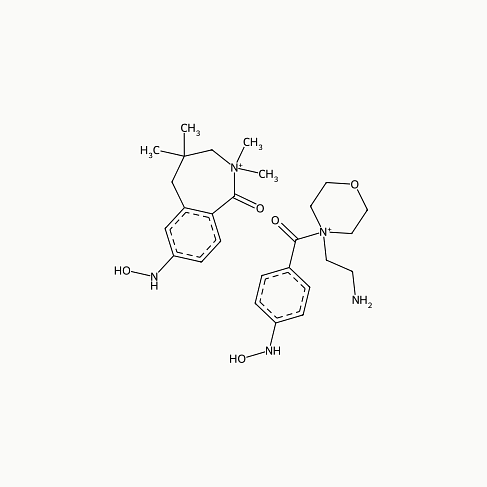 CC1(C)Cc2cc(NO)ccc2C(=O)[N+](C)(C)C1.NCC[N+]1(C(=O)c2ccc(NO)cc2)CCOCC1